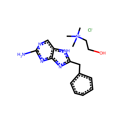 C[N+](C)(C)CCO.Nc1ncc2[nH]c(Cc3ccccc3)nc2n1.[Cl-]